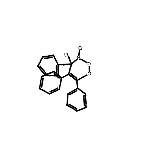 ClN1OOC(c2ccccc2)=C(c2ccccc2)C1(Cl)c1ccccc1